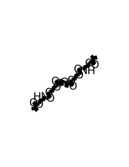 C=C(C)C(=O)OCCNC(=O)OCCOC(=O)C(=C)OC(C)(C)C(=O)OCCOC(=O)NCCOC(=O)C(=C)C